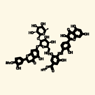 CCCOC(=O)c1cc(O)c(O)c(O)c1.COc1ccc(C2CC(=O)c3c(O)cc(O[C@@H]4O[C@H](CO)[C@@H](O)[C@H](O)[C@H]4O[C@@H]4O[C@@H](C)[C@H](O)[C@@H](O)[C@H]4O)cc3O2)cc1O.O=c1c(O)c(-c2ccc(O)c(O)c2)oc2cc(O)cc(O)c12